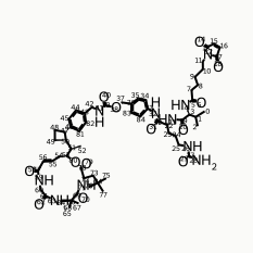 CC(C)[C@H](NC(=O)CCCCCN1C(=O)C=CC1=O)C(=O)NC(CCCNC(N)=O)C(=O)Nc1ccc(COC(=O)NCc2ccc([C@H]3CC[C@@H]3[C@@H](C)[C@@H]3C/C=C/C(=O)NCC(=O)N[C@@H](C)C(C)(C)C(=O)NC(CC(C)(C)C)C(=O)O3)cc2)cc1